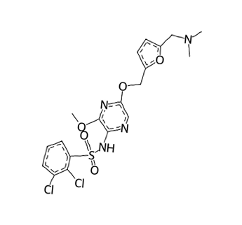 COc1nc(OCc2ccc(CN(C)C)o2)cnc1NS(=O)(=O)c1cccc(Cl)c1Cl